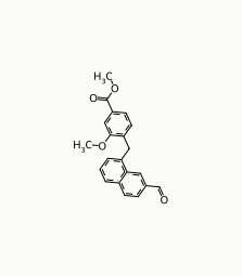 COC(=O)c1ccc(Cc2cccc3ccc(C=O)cc23)c(OC)c1